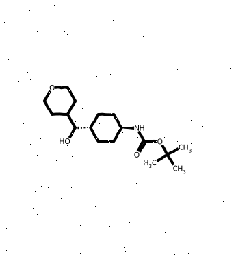 CC(C)(C)OC(=O)N[C@H]1CC[C@H](C(O)C2CCOCC2)CC1